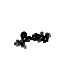 Cc1ncnc(C)c1C(=O)N1CC2CN(CCC(NC(=O)OC(C)(C)C)c3ccccc3)C[C@H]2C1